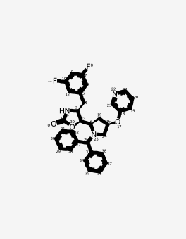 O=C1N[C@@H](Cc2cc(F)cc(F)c2)[C@@H]([C@H]2C[C@@H](Oc3cccnc3)CN2C(c2ccccc2)c2ccccc2)O1